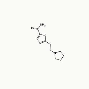 NC(=O)c1cnc(CCN2CCCC2)s1